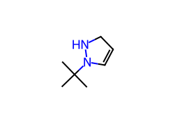 CC(C)(C)N1C=CCN1